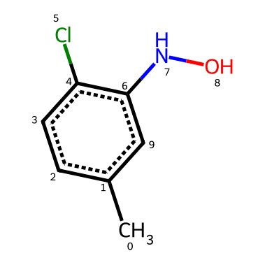 Cc1ccc(Cl)c(NO)c1